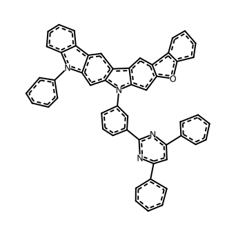 c1ccc(-c2cc(-c3ccccc3)nc(-c3cccc(-n4c5cc6oc7ccccc7c6cc5c5cc6c7ccccc7n(-c7ccccc7)c6cc54)c3)n2)cc1